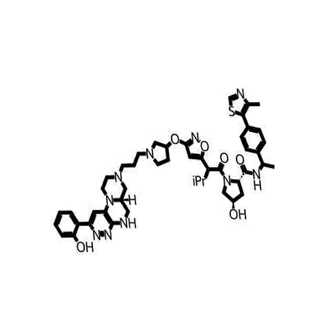 Cc1ncsc1-c1ccc(C(C)NC(=O)[C@@H]2C[C@@H](O)CN2C(=O)C(c2cc(OC3CCN(CCCN4CCN5c6cc(-c7ccccc7O)nnc6NC[C@H]5C4)C3)no2)C(C)C)cc1